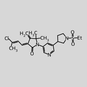 C=C1/C(=C\C=C(/C)Cl)C(=O)N(c2cncc(C3CCN(S(=O)(=O)CC)C3)c2)C1(C)C